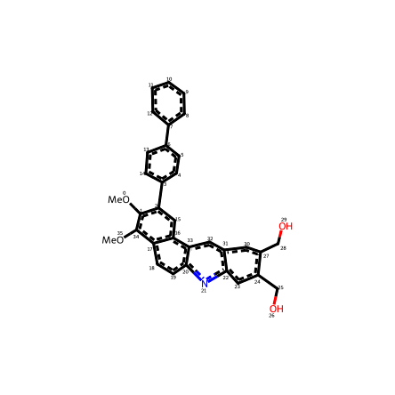 COc1c(-c2ccc(-c3ccccc3)cc2)cc2c(ccc3nc4cc(CO)c(CO)cc4cc32)c1OC